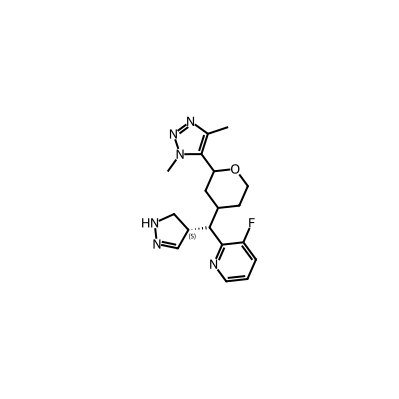 Cc1nnn(C)c1C1CC(C(c2ncccc2F)[C@@H]2C=NNC2)CCO1